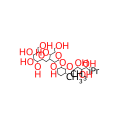 CC(C)C(O)C(O)C(O)C(C)OC1C(C)CCCC1OC1OC(CO)C(O)C(CC2OC(CO)C(O)C(O)C2O)C1O